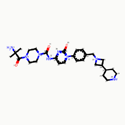 CC(C)(N)C(=O)N1CCN(C(=O)Nc2ccn(-c3ccc(CN4CC(C5CCNCC5)C4)cc3)c(=O)n2)CC1